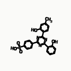 Cc1ccc(-c2nc(-c3ccc(S(=O)(=O)O)cc3)nc(-c3ccccc3O)n2)c(O)c1